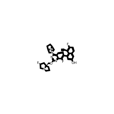 C#Cc1c(F)ccc2cc(O)cc(-c3ccc4c(N5CC6CCC(C5)N6C)nc(OC[C@@]56CCCN5C[C@H](F)C6)nc4c3F)c12